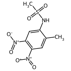 Cc1cc([N+](=O)[O-])c([N+](=O)[O-])cc1NS(C)(=O)=O